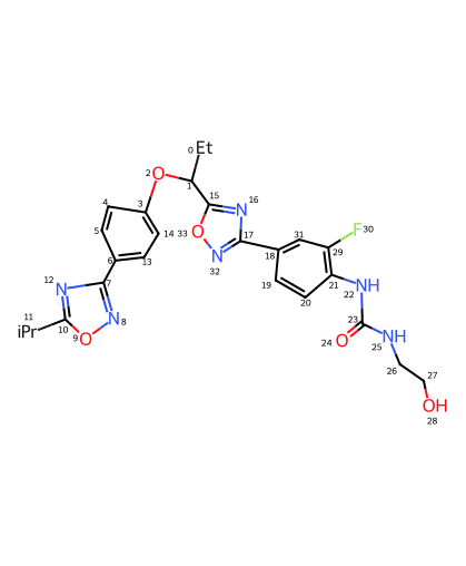 CCC(Oc1ccc(-c2noc(C(C)C)n2)cc1)c1nc(-c2ccc(NC(=O)NCCO)c(F)c2)no1